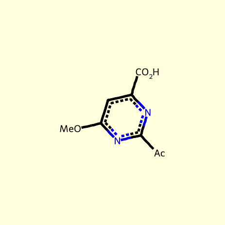 COc1cc(C(=O)O)nc(C(C)=O)n1